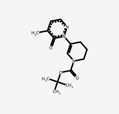 Cc1ccnn(C2=CN(C(=O)OC(C)(C)C)CCC2)c1=O